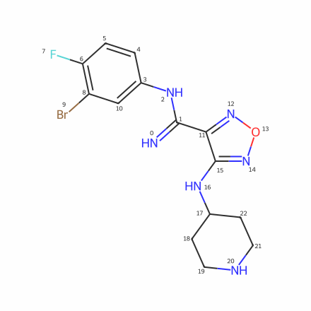 N=C(Nc1ccc(F)c(Br)c1)c1nonc1NC1CCNCC1